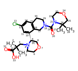 CC(C)(CN1CCOC[C@H]1c1cc(Cl)cc2c1CN(C(=O)N1CCOCC1(C)C)CC2)C(=O)O